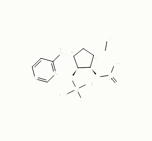 CC(C)(C)[Si](C)(C)O[C@@H]1[C@H](O[PH](=O)O)[C@@H](CO)C[C@H]1Nc1ccncn1